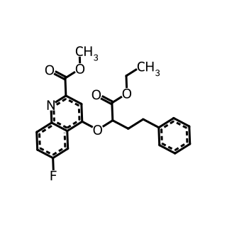 CCOC(=O)C(CCc1ccccc1)Oc1cc(C(=O)OC)nc2ccc(F)cc12